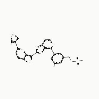 CS(=O)(=O)NCc1cc(F)cc(-c2nccc3[nH]c(-c4n[nH]c5ccc(-c6cn[nH]c6)nc45)nc23)c1